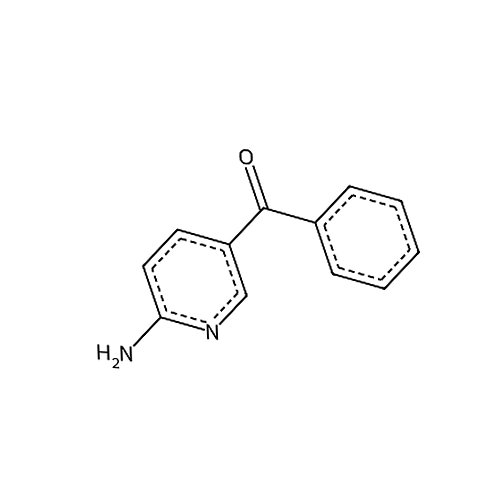 Nc1ccc(C(=O)c2ccccc2)cn1